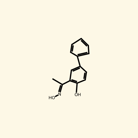 C/C(=N\O)c1cc(-c2ccccc2)ccc1O